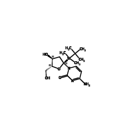 CC(C)(C)[Si](C)(C)[C@]1(n2ccc(N)nc2=O)C[C@H](O)[C@@H](CO)O1